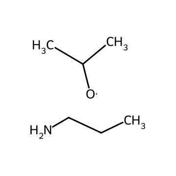 CC(C)[O].CCCN